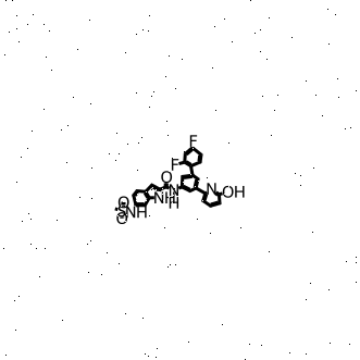 CS(=O)(=O)Nc1ccc2cc(C(=O)Nc3cc(-c4cccc(O)n4)cc(-c4ccc(F)cc4F)c3)[nH]c2c1